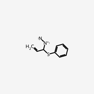 C=CC([N+][N])Sc1ccccc1